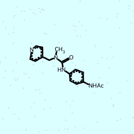 CC(=O)Nc1ccc(NC(=O)N(C)Cc2ccncc2)cc1